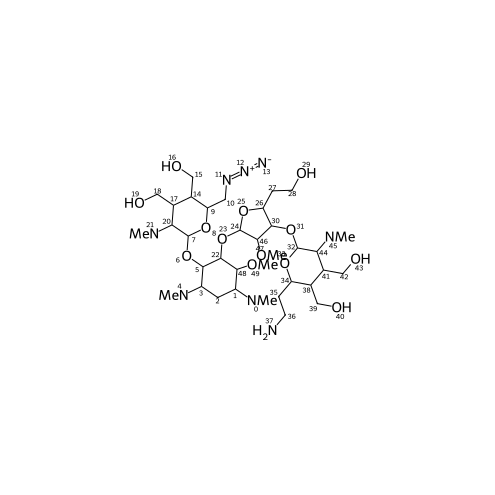 CNC1CC(NC)C(OC2OC(CN=[N+]=[N-])C(CO)C(CO)C2NC)C(OC2OC(CCO)C(OC3OC(CCN)C(CO)C(CO)C3NC)C2OC)C1OC